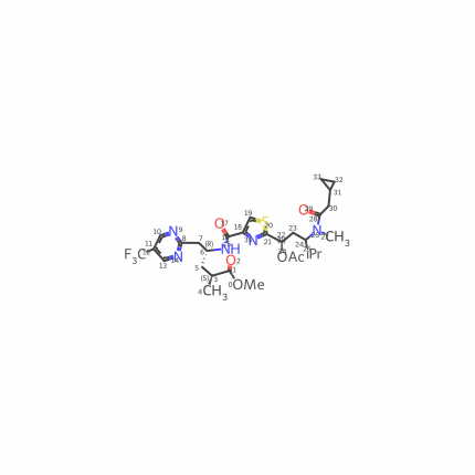 COC(=O)[C@@H](C)C[C@H](Cc1ncc(C(F)(F)F)cn1)NC(=O)c1csc([C@@H](CC(C(C)C)N(C)C(=O)CC2CC2)OC(C)=O)n1